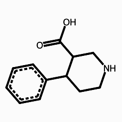 O=C(O)C1CNCCC1c1ccccc1